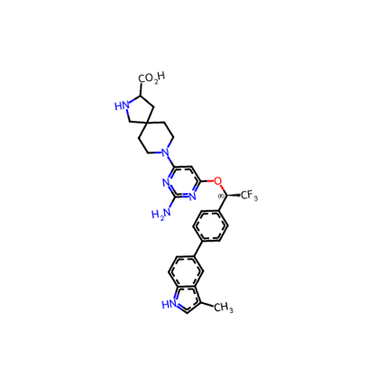 Cc1c[nH]c2ccc(-c3ccc([C@@H](Oc4cc(N5CCC6(CC5)CNC(C(=O)O)C6)nc(N)n4)C(F)(F)F)cc3)cc12